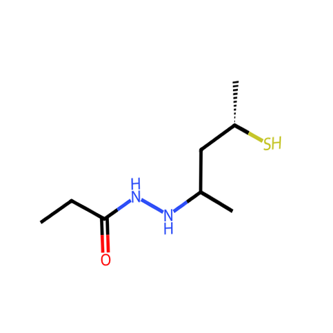 CCC(=O)NNC(C)C[C@H](C)S